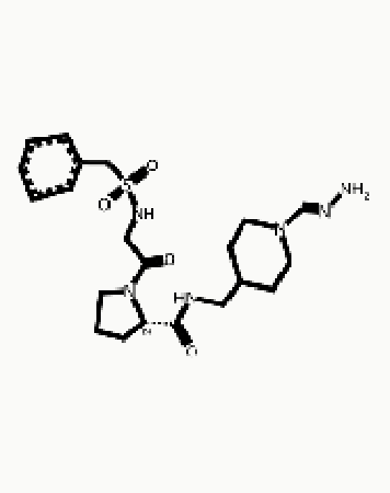 NN=CN1CCC(CNC(=O)[C@@H]2CCCN2C(=O)CNS(=O)(=O)Cc2ccccc2)CC1